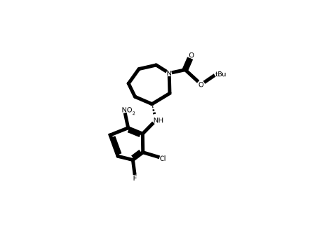 CC(C)(C)OC(=O)N1CCCC[C@@H](Nc2c([N+](=O)[O-])ccc(F)c2Cl)C1